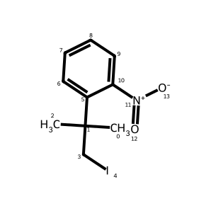 CC(C)(CI)c1ccccc1[N+](=O)[O-]